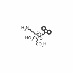 NCCCCCC(=O)N(C(=O)OCC1c2ccccc2-c2ccccc21)[C@@H](CCC(=O)O)C(=O)O